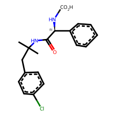 CC(C)(Cc1ccc(Cl)cc1)NC(=O)[C@@H](NC(=O)O)c1ccccc1